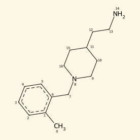 Cc1ccccc1CN1CCC(CCN)CC1